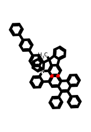 CC1(c2ccccc2)c2ccccc2-c2cccc(N(c3ccc(-c4ccc(-c5ccccc5)cc4)cc3)c3ccccc3-c3ccc4c(c3)c(-c3ccccc3)c(-c3ccccc3)c3ccccc34)c21